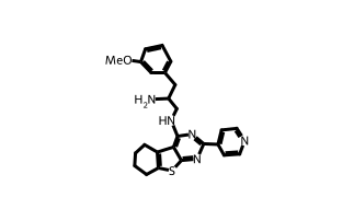 COc1cccc(CC(N)CNc2nc(-c3ccncc3)nc3sc4c(c23)CCCC4)c1